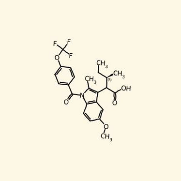 CC[C@@H](C)C(C(=O)O)c1c(C)n(C(=O)c2ccc(OC(F)(F)F)cc2)c2ccc(OC)cc12